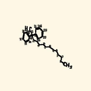 CCCCCCCCCCCCC(C)(c1ccccc1)c1ccccc1